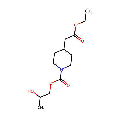 CCOC(=O)CC1CCN(C(=O)OCC(C)O)CC1